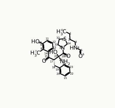 CCCCNC=O.Cc1c(O)cccc1C(=O)[C@@H](Cc1ccccc1)[C@](N)(O)C(=O)N1CCSC1